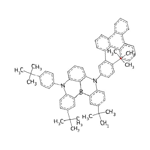 CC(C)(C)c1ccc(N2c3ccc(C(C)(C)C)cc3B3c4cc(C(C)(C)C)ccc4N(c4ccc(C(C)(C)C)c(-c5cccc6c7ccccc7c7ccccc7c56)c4)c4cccc2c43)cc1